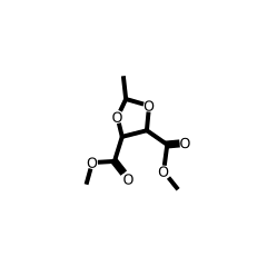 COC(=O)C1OC(C)OC1C(=O)OC